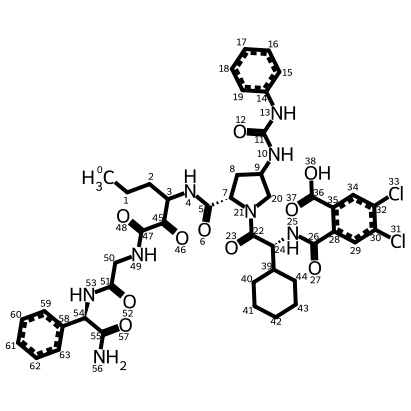 CCCC(NC(=O)[C@@H]1CC(NC(=O)Nc2ccccc2)CN1C(=O)[C@H](NC(=O)c1cc(Cl)c(Cl)cc1C(=O)O)C1CCCCC1)C(=O)C(=O)NCC(=O)N[C@@H](C(N)=O)c1ccccc1